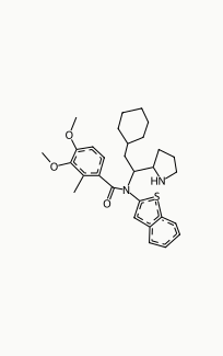 COc1ccc(C(=O)N(c2cc3ccccc3s2)C(CC2CCCCC2)C2CCCN2)c(C)c1OC